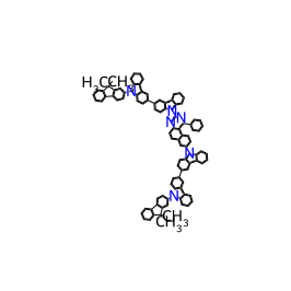 CC1(C)c2ccccc2-c2ccc(-n3c4ccccc4c4cc(-c5ccc6c(c5)c5ccccc5n6-c5ccc6c(ccc7nc(-n8c9ccccc9c9cc(-c%10ccc%11c(c%10)c%10ccccc%10n%11-c%10ccc%11c(c%10)C(C)(C)c%10ccccc%10-%11)ccc98)nc(-c8ccccc8)c76)c5)ccc43)cc21